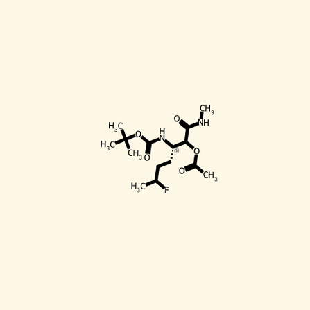 CNC(=O)C(OC(C)=O)[C@H](CCC(C)F)NC(=O)OC(C)(C)C